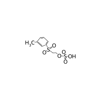 Cc1cccc(S(=O)(=O)CCOS(=O)(=O)O)c1